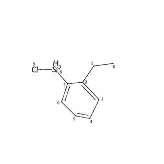 CCc1ccccc1[SiH2]Cl